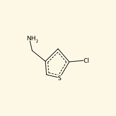 NCc1csc(Cl)c1